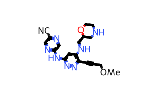 COCC#Cc1nnc(Nc2cnc(C#N)cn2)cc1NCC1CNCCO1